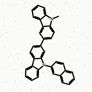 Cn1c2ccccc2c2cc(-c3ccc4c5ccccc5n(-c5ccc6ccccc6c5)c4c3)ccc21